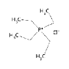 CC[P+](CC)(CC)CC.[Cl-]